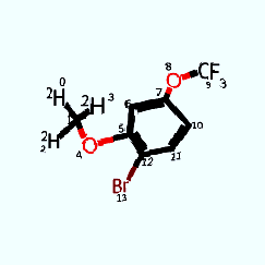 [2H]C([2H])([2H])Oc1cc(OC(F)(F)F)ccc1Br